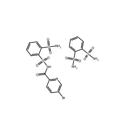 NS(=O)(=O)c1ccccc1S(=O)(=O)NC(=O)c1ccc(Br)cn1.NS(=O)(=O)c1ccccc1S(N)(=O)=O